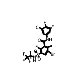 Cc1c(Br)cc(S(=O)(=O)N[C@H](C)C(F)(F)F)c(F)c1C(=O)Nc1cc(F)c(F)c(Cl)c1